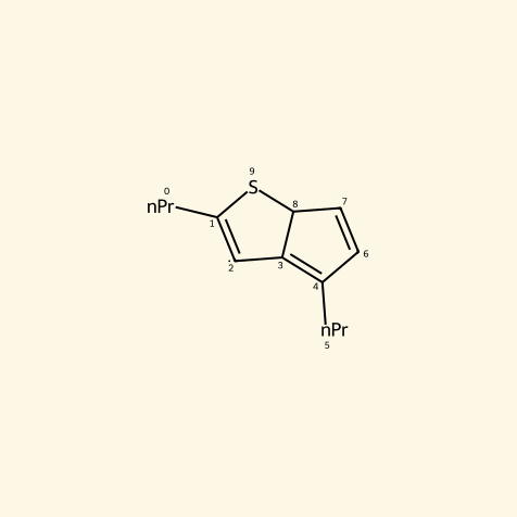 CCCC1=[C]C2=C(CCC)C=CC2S1